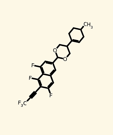 CC1CC=C(C2COC(c3cc(F)c4c(F)c(C#CC(F)(F)F)c(F)cc4c3)OC2)CC1